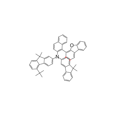 CC(C)(C)c1cccc2c1-c1ccc(N(c3ccc4c(c3)-c3ccccc3C4(C)C)c3ccc4ccccc4c3-c3cccc4c3oc3ccccc34)cc1C2(C)C